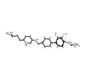 C=CCCC1CCC(OCC2CCC(c3ccc(OCC)c(F)c3F)CC2)CO1